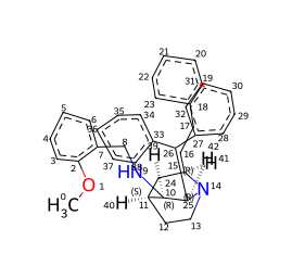 COc1ccccc1CN[C@@H]1[C@H]2CCN([C@H](CCc3ccccc3)C2)[C@@H]1C(c1ccccc1)c1ccccc1